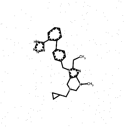 CCc1nc2c(n1Cc1ccc(-c3ccccc3-c3nnn[nH]3)cc1)CN(CC1CC1)CN2C